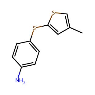 Cc1csc(Sc2ccc(N)cc2)c1